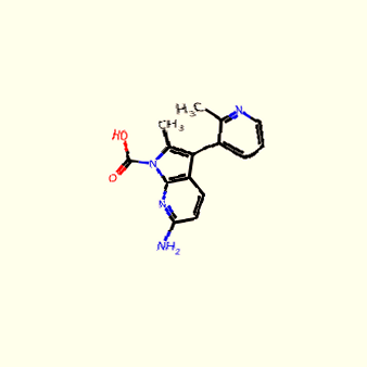 Cc1ncccc1-c1c(C)n(C(=O)O)c2nc(N)ccc12